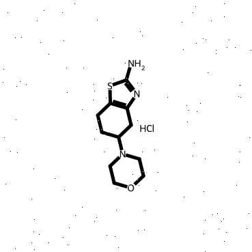 Cl.Nc1nc2c(s1)CCC(N1CCOCC1)C2